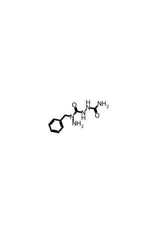 NC(=O)NNC(=O)N(N)Cc1ccccc1